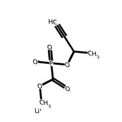 C#CC(C)OP(=O)([O-])C(=O)OC.[Li+]